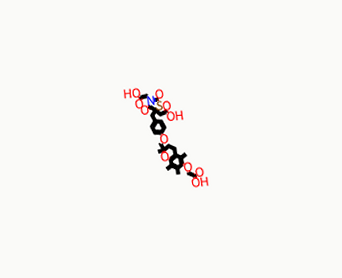 Cc1c(C)c2c(c(C)c1OCC(=O)O)CCC(C)(COc1ccc(CC3(CC(=O)O)SC(=O)N(CC(=O)O)C3=O)cc1)O2